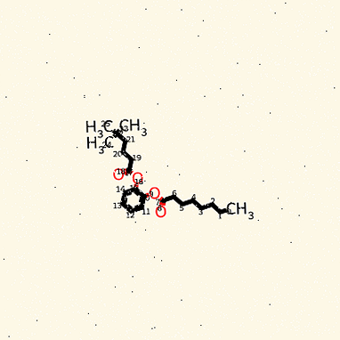 CCCCCCCC(=O)Oc1ccccc1OC(=O)CCCC(C)(C)C